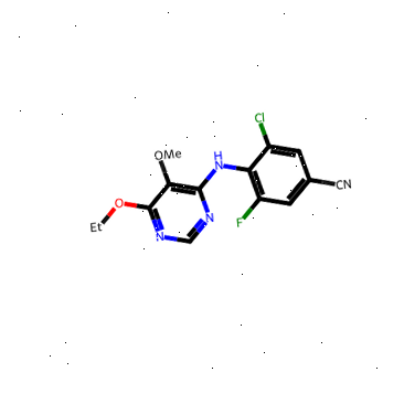 CCOc1ncnc(Nc2c(F)cc(C#N)cc2Cl)c1OC